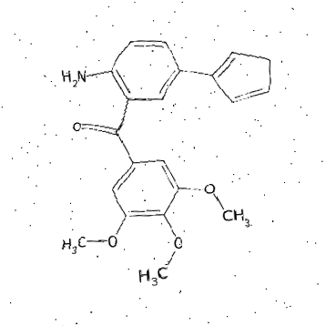 COc1cc(C(=O)c2cc(C3=CCC=C3)ccc2N)cc(OC)c1OC